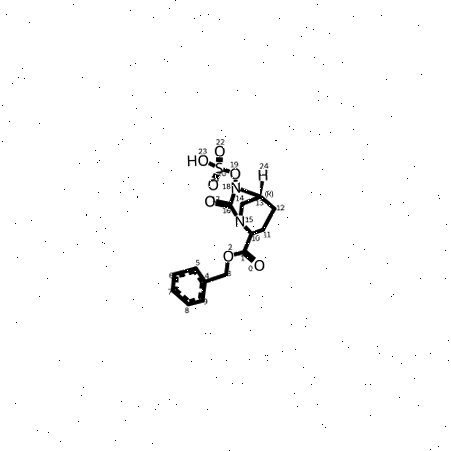 O=C(OCc1ccccc1)C1CC[C@@H]2CN1C(=O)N2OS(=O)(=O)O